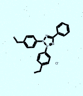 CCc1ccc(-n2nc(-c3ccccc3)n[n+]2-c2ccc(CC)cc2)cc1.[Cl-]